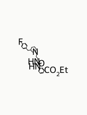 CCOC(=O)c1cccc(NC(=O)NCCCN2CCCC(Cc3ccc(F)cc3)C2)c1